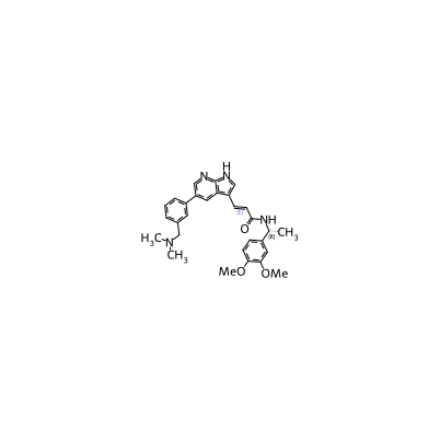 COc1ccc([C@@H](C)NC(=O)/C=C/c2c[nH]c3ncc(-c4cccc(CN(C)C)c4)cc23)cc1OC